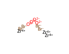 [Br-].[Br-].[Br-].[Br-].[O-2].[O-2].[O-2].[O-2].[Zr+4].[Zr+4].[Zr+4]